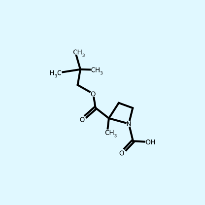 CC(C)(C)COC(=O)C1(C)CCN1C(=O)O